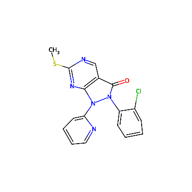 CSc1ncc2c(=O)n(-c3ccccc3Cl)n(-c3ccccn3)c2n1